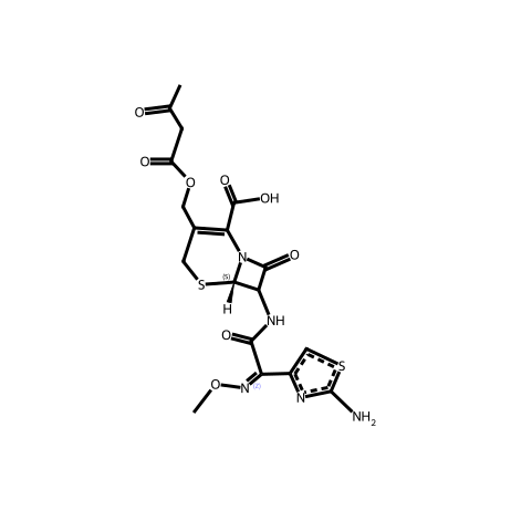 CO/N=C(\C(=O)NC1C(=O)N2C(C(=O)O)=C(COC(=O)CC(C)=O)CS[C@@H]12)c1csc(N)n1